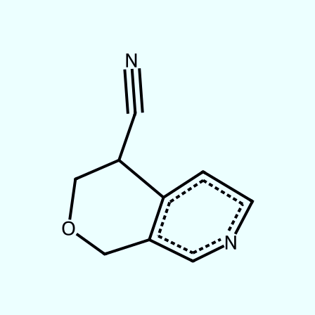 N#CC1COCc2cnccc21